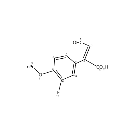 CCCOc1ccc(/C(=C\C=O)C(=O)O)cc1F